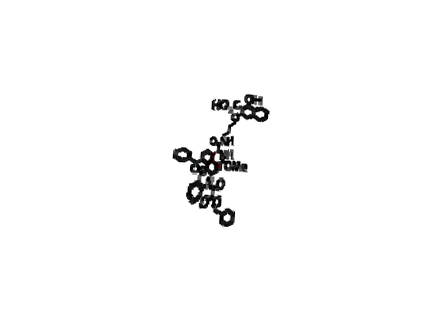 COC(=O)N[C@@H](Cc1ccc(N(C(=O)C(=O)OCc2ccccc2)c2ccccc2C(=O)OC(c2ccccc2)c2ccccc2)cc1)C(=O)NCCCCOc1cc2ccccc2c(O)c1C(=O)O